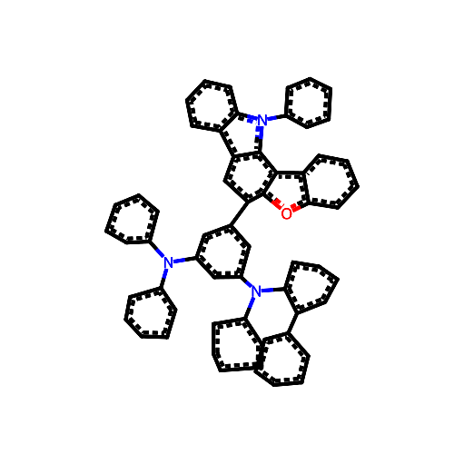 c1ccc(-c2ccccc2N(c2ccccc2)c2cc(-c3cc4c5ccccc5n(-c5ccccc5)c4c4c3oc3ccccc34)cc(N(c3ccccc3)c3ccccc3)c2)cc1